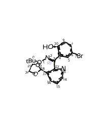 CC(C)(C)O/N=C(/c1cc(Br)ccc1O)c1ncccc1C1OCCO1